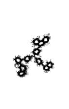 c1ccc2c(-c3ccc(N(c4ccc(-c5cc6ccccc6c6ccccc56)cc4)c4ccc(-c5cccc6oc7c8ccccc8ccc7c56)cc4)cc3)cccc2c1